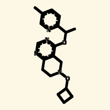 Cc1ccc(C(C)Oc2ncnc3c2CN(OC2CCC2)CC3)nc1